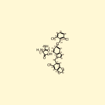 C[C@](N)(C(N)=O)C(=O)O.Clc1cc2c(cc1Cn1ccc3cc(OCc4c(Cl)cccc4Cl)ccc31)OCO2